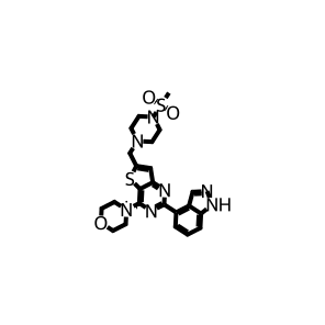 CS(=O)(=O)N1CCN(Cc2cc3nc(-c4cccc5[nH]ncc45)nc([N+]4CCOCC4)c3s2)CC1